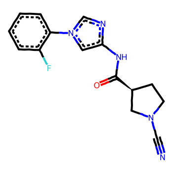 N#CN1CC[C@H](C(=O)Nc2cn(-c3ccccc3F)cn2)C1